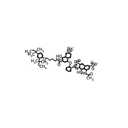 CCC(C)(C)c1ccc(OCCCCNC(=O)c2cc(Oc3ccccc3/N=N/c3c(S(=O)(=O)[O-])cc4cc(S(=O)(=O)[O-])cc(NC(C)=O)c4c3O)c3ccccc3c2O)c(C(C)(C)CC)c1.[Na+].[Na+]